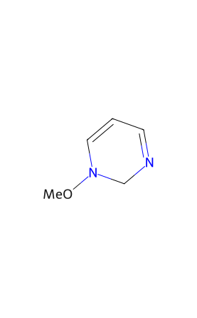 CON1C=CC=NC1